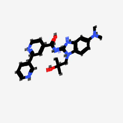 CN(C)c1ccc2c(c1)[nH]/c(=N\C(=O)c1ccnc(-c3cccnc3)c1)n2CC(C)(C)O